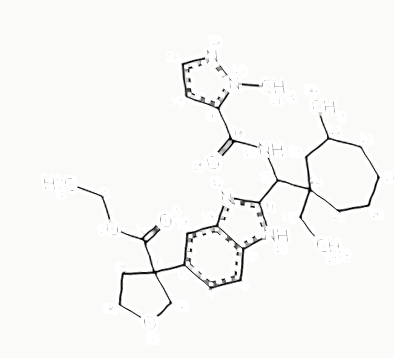 CCOC(=O)C1(c2ccc3[nH]c(C(NC(=O)c4ccnn4C)C4(CC)CCCCC(C)C4)nc3c2)CCOC1